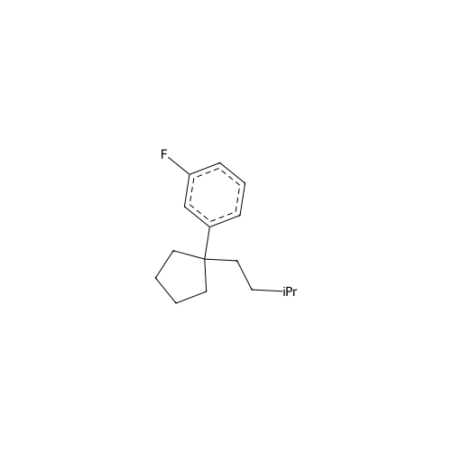 CC(C)CCC1(c2cccc(F)c2)CCCC1